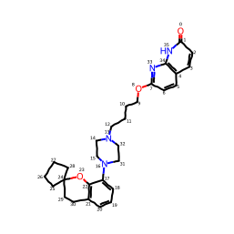 O=c1ccc2ccc(OCCCCN3CCN(c4cccc5c4OC4(CCCC4)CC5)CC3)nc2[nH]1